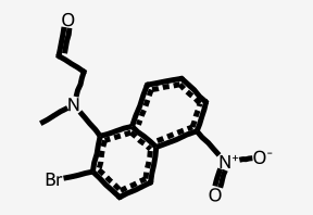 CN(CC=O)c1c(Br)ccc2c([N+](=O)[O-])cccc12